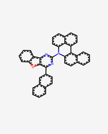 c1ccc2cc(-c3nc(N4c5ccc6ccccc6c5-c5cccc6cccc4c56)nc4c3oc3ccccc34)ccc2c1